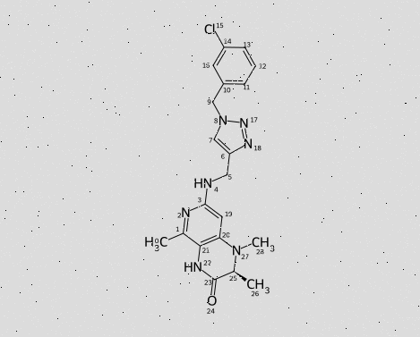 Cc1nc(NCc2cn(Cc3cccc(Cl)c3)nn2)cc2c1NC(=O)[C@H](C)N2C